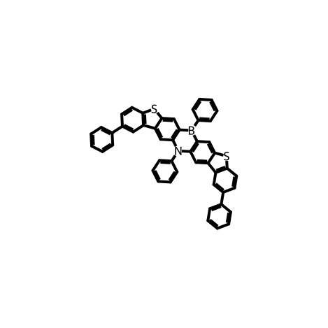 c1ccc(B2c3cc4sc5ccc(-c6ccccc6)cc5c4cc3N(c3ccccc3)c3cc4c(cc32)sc2ccc(-c3ccccc3)cc24)cc1